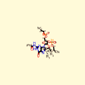 CC(C)C(=O)Nc1nc2c(ncn2C2OC(CO[PH](=O)OCCC#N)C(O[PH](=O)OCCC#N)C2O[Si](C)(C)C(C)(C)C)c(=O)[nH]1